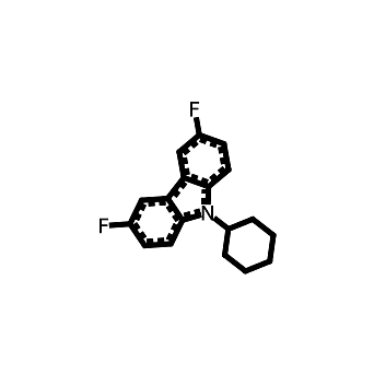 Fc1ccc2c(c1)c1cc(F)ccc1n2C1CCCCC1